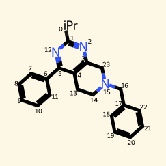 CC(C)c1nc2c(c(-c3ccccc3)n1)CCN(Cc1ccccc1)C2